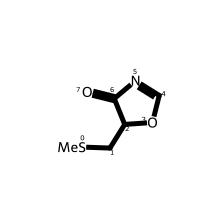 CSCC1OC=NC1=O